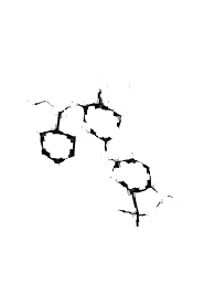 CC1(C)OB(O)c2ccc(Nc3ncc(C(=O)O)c(N[C@H](CO)c4ccccc4)n3)nc21